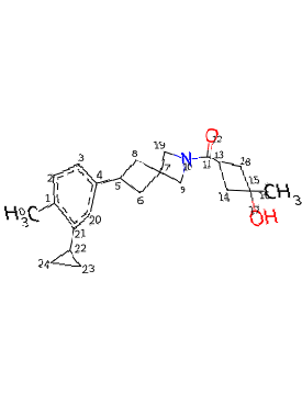 Cc1ccc(C2CC3(C2)CN(C(=O)C2CC(C)(O)C2)C3)cc1C1CC1